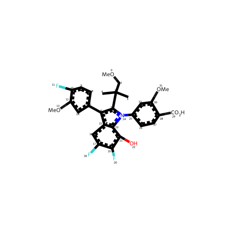 COCC(C)(C)c1c(-c2ccc(F)c(OC)c2)c2cc(F)c(F)c(O)c2n1-c1ccc(C(=O)O)c(OC)c1